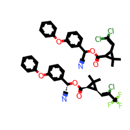 CC1(C)C(C=C(Cl)Cl)C1C(=O)OC(C#N)c1cccc(Oc2ccccc2)c1.CC1(C)[C@H](C(=O)O[C@H](C#N)c2cccc(Oc3ccccc3)c2)[C@@H]1/C=C(\Cl)C(F)(F)F